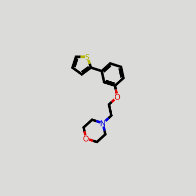 c1cc(OCCN2CCOCC2)cc(-c2cccs2)c1